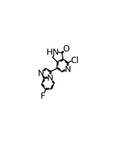 O=C1NCc2c(-c3cnc4cc(F)ccn34)cnc(Cl)c21